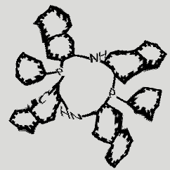 c1ccc(P2c3cc4ccccc4cc3Nc3cc4ccccc4cc3P(c3ccccc3)c3cc4ccccc4cc3Nc3cc4ccccc4cc32)cc1